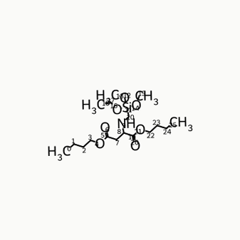 CCCCOC(=O)CC(NC[Si](OC)(OC)OCC)C(=O)OCCCC